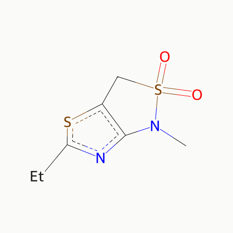 CCc1nc2c(s1)CS(=O)(=O)N2C